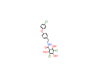 O=C(NCCc1ccc(Oc2ccc(Cl)cc2)cc1)c1c(O)c(Cl)c(O)c(Cl)c1O